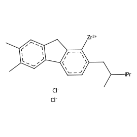 Cc1cc2c(cc1C)-c1ccc(CC(C)C(C)C)[c]([Zr+2])c1C2.[Cl-].[Cl-]